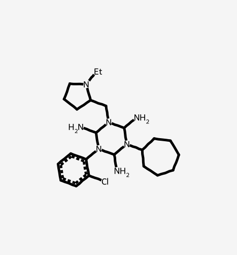 CCN1CCCC1CN1C(N)N(c2ccccc2Cl)C(N)N(C2CCCCCC2)C1N